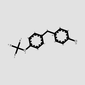 FC(F)(F)Oc1ccc(Cc2ccc(Cl)cc2)cc1